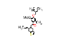 C=C/C(=C\C)COc1cc(C)c(C(=O)CC2Cc3ccsc3CC2/C=C/C)cc1OC